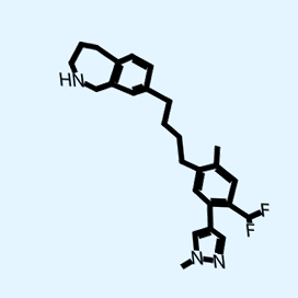 Cc1cc(C(F)F)c(-c2cnn(C)c2)cc1CCCCc1ccc2c(c1)CNCCC2